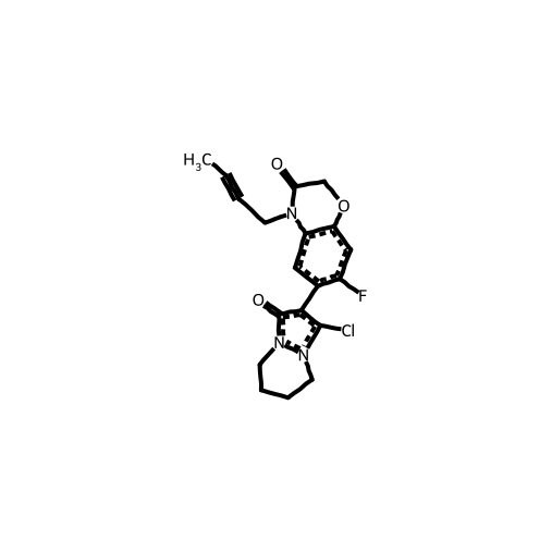 CC#CCN1C(=O)COc2cc(F)c(-c3c(Cl)n4n(c3=O)CCCC4)cc21